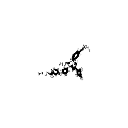 NCc1cccc(-n2nc(C3CCC3)cc2N(C(N)=O)c2ccc(Oc3ccnc(C(N)=O)c3)c(F)c2)c1